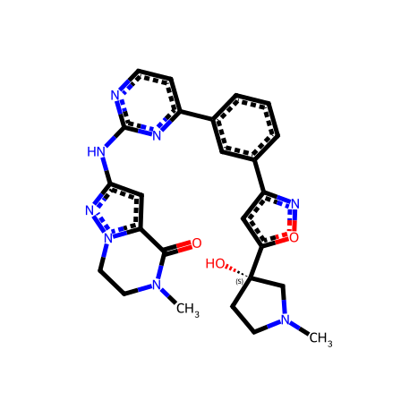 CN1CC[C@@](O)(c2cc(-c3cccc(-c4ccnc(Nc5cc6n(n5)CCN(C)C6=O)n4)c3)no2)C1